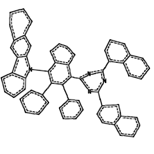 c1ccc(-c2c(-c3ccccc3)c(-n3c4ccccc4c4cc5ccccc5cc43)c3ccccc3c2-c2nc(-c3ccc4ccccc4c3)nc(-c3cccc4ccccc34)n2)cc1